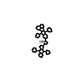 c1ccc(-c2c3c(c(-c4ccccc4)c4cc(-c5ccc(-c6ccc7c(-c8ccccc8)c8ccccc8c(-c8ccccc8)c7c6)[nH]5)ccc24)-c2cccc4cccc-3c24)cc1